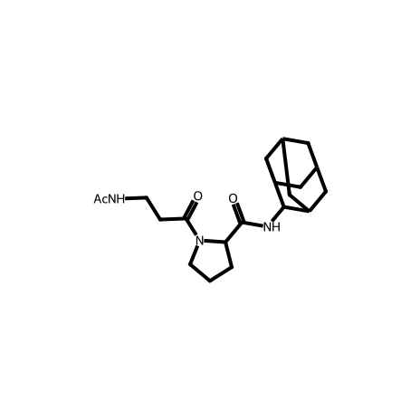 CC(=O)NCCC(=O)N1CCCC1C(=O)NC1C2CC3CC(C2)CC1C3